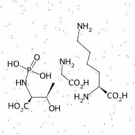 C[C@@H](O)[C@H](NP(=O)(O)O)C(=O)O.NCC(=O)O.NCCCC[C@H](N)C(=O)O